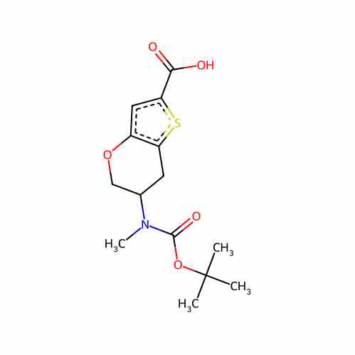 CN(C(=O)OC(C)(C)C)C1COc2cc(C(=O)O)sc2C1